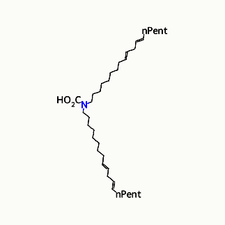 CCCCCC=CCC=CCCCCCCCCN(CCCCCCCCC=CCC=CCCCCC)C(=O)O